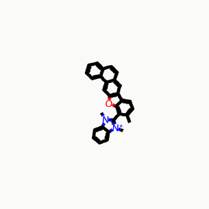 Cc1ccc2c(oc3cc4c(ccc5ccccc54)cc32)c1-c1n(C)c2ccccc2[n+]1C